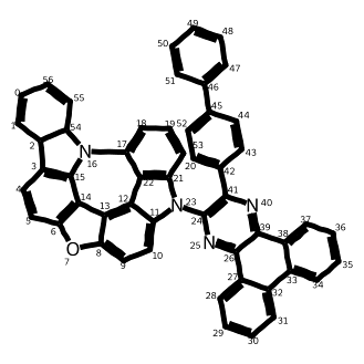 C1=CC2c3ccc4oc5ccc6c7c5c4c3n(c3cccc(c73)n6-c3nc4c5ccccc5c5ccccc5c4nc3-c3ccc(-c4ccccc4)cc3)C2C=C1